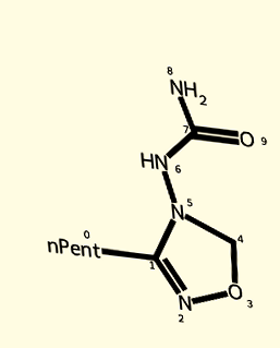 CCCCCC1=NOCN1NC(N)=O